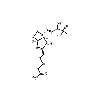 CCCCC(C)([C@H](O)C=C[C@H]1CC[C@@H]2OC(=CCCCC(=O)OC)C(F)[C@@H]21)C(F)(F)F